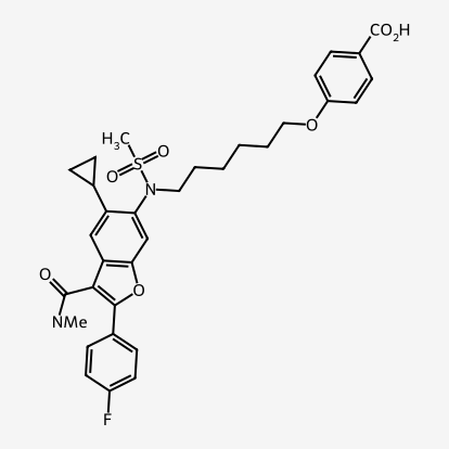 CNC(=O)c1c(-c2ccc(F)cc2)oc2cc(N(CCCCCCOc3ccc(C(=O)O)cc3)S(C)(=O)=O)c(C3CC3)cc12